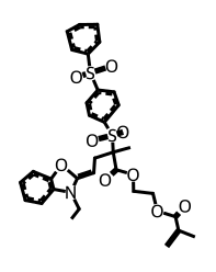 C=C(C)C(=O)OCCOC(=O)C(C)(C/C=C1\Oc2ccccc2N1CC)S(=O)(=O)c1ccc(S(=O)(=O)c2ccccc2)cc1